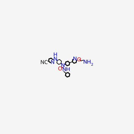 N#Cc1ccc(NC2CCC(N(C(=O)NCc3ccccc3)c3ccc(-c4ccc(OCCN)nc4)cc3)CC2)nc1